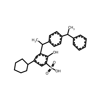 CC(c1ccccc1)c1ccc(C(C)c2cc(C3CCCCC3)cc(S(=O)(=O)O)c2O)cc1